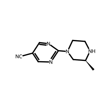 C[C@H]1CN(c2ncc(C#N)cn2)CCN1